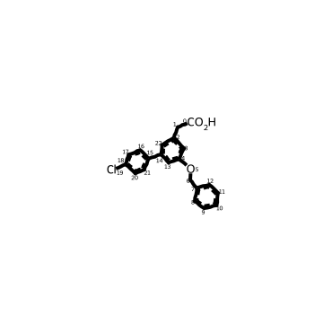 O=C(O)Cc1cc(OCc2ccccc2)cc(-c2ccc(Cl)cc2)c1